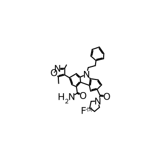 Cc1noc(C)c1-c1cc(C(N)=O)c2c3cc(C(=O)N4CC[C@H](F)C4)ccc3n(CCc3ccccc3)c2c1